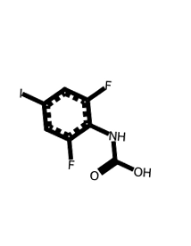 O=C(O)Nc1c(F)cc(I)cc1F